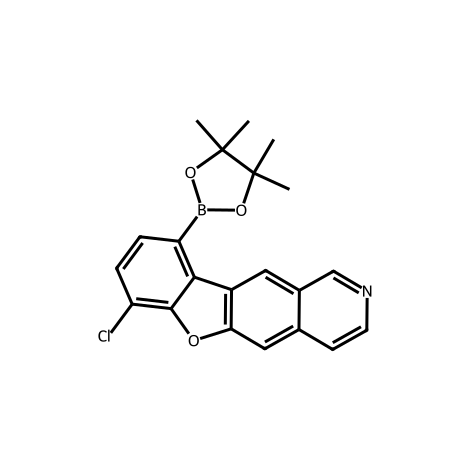 CC1(C)OB(c2ccc(Cl)c3oc4cc5ccncc5cc4c23)OC1(C)C